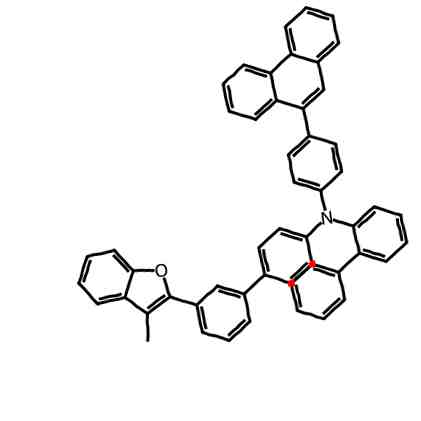 Cc1c(-c2cccc(-c3ccc(N(c4ccc(-c5cc6ccccc6c6ccccc56)cc4)c4ccccc4-c4ccccc4)cc3)c2)oc2ccccc12